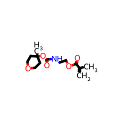 C=C(C)C(=O)OCCNC(=O)OC1(C)CCOCC1